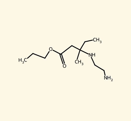 CCCOC(=O)CC(C)(CC)NCCN